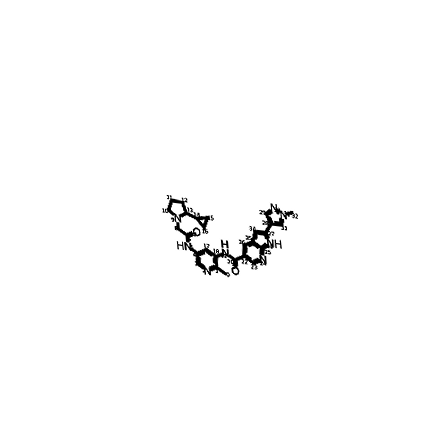 Cc1ncc(NC(=O)CN2CCCC2C2CC2)cc1NC(=O)c1cnc2[nH]c(-c3cnn(C)c3)cc2c1